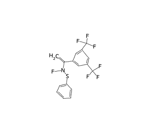 C=C(c1cc(C(F)(F)F)cc(C(F)(F)F)c1)N(F)Sc1ccccc1